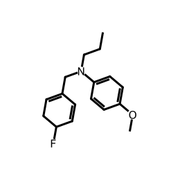 CCCN(CC1=CCC(F)C=C1)c1ccc(OC)cc1